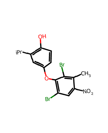 Cc1c([N+](=O)[O-])cc(Br)c(Oc2ccc(O)c(C(C)C)c2)c1Br